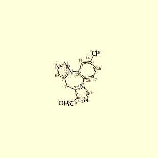 O=Cc1ncn2c1Cc1cnnn1-c1cc(Cl)ccc1-2